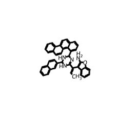 C/C=C(/C1=NC(c2cccc3ccc4c5ccccc5ccc4c23)NC(c2ccc3ccccc3c2)N1)c1c(N)oc2ccccc12